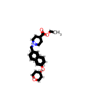 CCOC(=O)C1CCN(Cc2ccc3cc(OC4CCOCC4)ccc3c2)CC1